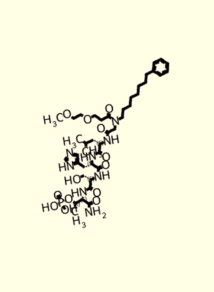 COCCOCCC(=O)N(CCCCCCCCc1ccccc1)CC(=O)N[C@@H](CC(C)C)C(=O)N[C@@H](Cc1cnc[nH]1)C(=O)N[C@@H](CO)C(=O)N[C@H](C(N)=O)[C@@H](C)OP(=O)(O)O